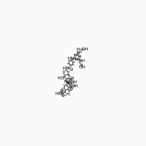 O=C(Nc1ccc2c(O)c(/N=N/c3ccc4c(S(=O)(=O)O)cccc4c3S(=O)(=O)O)c(S(=O)(=O)O)cc2c1)c1ccc(Nc2nc(NCCO)nc(NCCO)n2)cc1